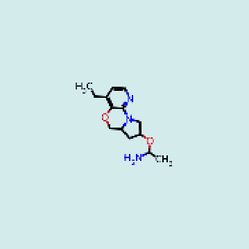 CCc1ccnc2c1OCC1CC(OC(C)N)CN21